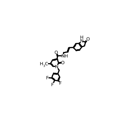 Cc1cc(C(=O)NC/C=C/c2ccc3c(c2)NC(=O)C3)c(=O)n(Cc2cc(F)c(F)c(F)c2)c1